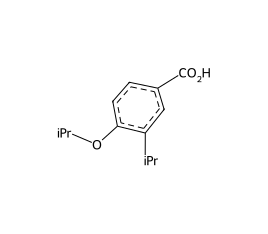 CC(C)Oc1ccc(C(=O)O)cc1C(C)C